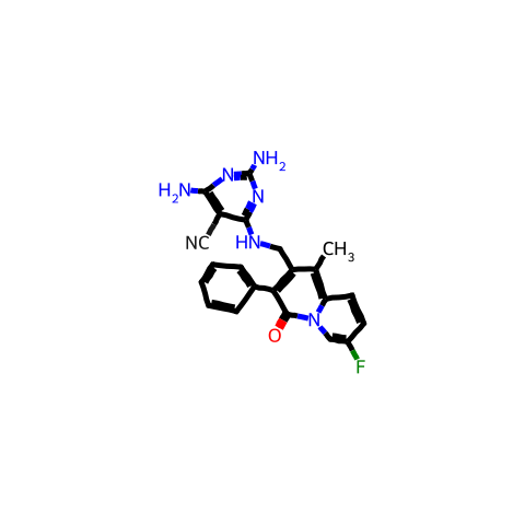 Cc1c(CNc2nc(N)nc(N)c2C#N)c(-c2ccccc2)c(=O)n2cc(F)ccc12